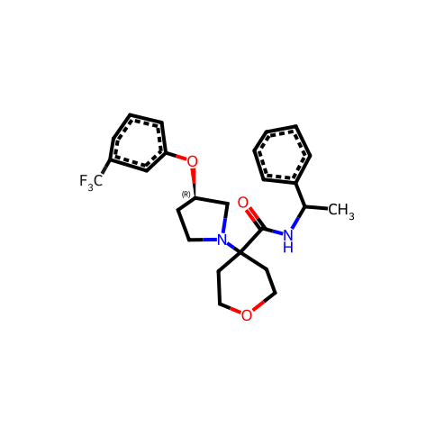 CC(NC(=O)C1(N2CC[C@@H](Oc3cccc(C(F)(F)F)c3)C2)CCOCC1)c1ccccc1